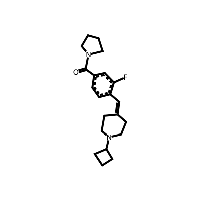 O=C(c1ccc(C=C2CCN(C3CCC3)CC2)c(F)c1)N1CCCC1